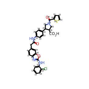 O=C(Cc1ccc2nc(Nc3ccccc3Cl)oc2c1)Nc1ccc(C2CN(C(=O)c3cccs3)CC2C(=O)O)cc1